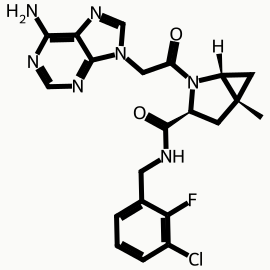 C[C@@]12C[C@@H](C(=O)NCc3cccc(Cl)c3F)N(C(=O)Cn3cnc4c(N)ncnc43)[C@@H]1C2